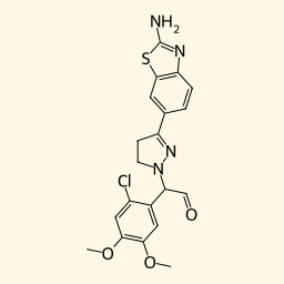 COc1cc(Cl)c(C(C=O)N2CCC(c3ccc4nc(N)sc4c3)=N2)cc1OC